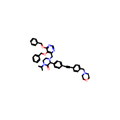 CC(C)N1CCN(Cc2ncnc(OCc3ccccc3)c2OCc2ccccc2)C(c2ccc(C#Cc3ccc(CN4CCOCC4)cc3)cc2)C1=O